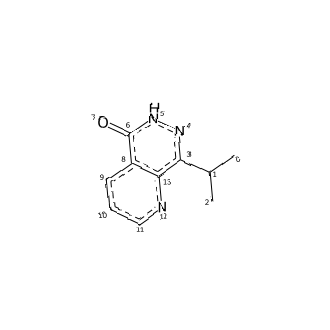 CC(C)c1n[nH]c(=O)c2cccnc12